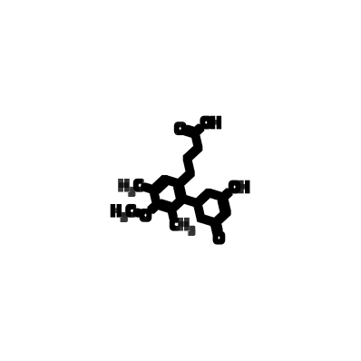 COc1c(C)cc(CCCC(=O)O)c(C2CC(=O)C=C(O)C2)c1C